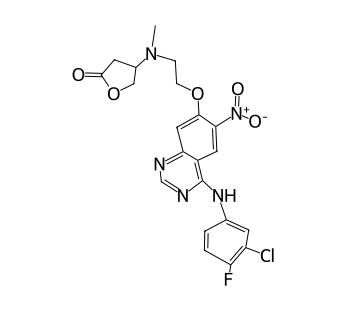 CN(CCOc1cc2ncnc(Nc3ccc(F)c(Cl)c3)c2cc1[N+](=O)[O-])C1COC(=O)C1